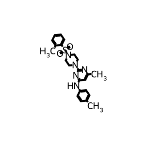 Cc1ccc(Nc2cc(C)nc(N3CCN(S(=O)(=O)c4ccccc4C)CC3)n2)cc1